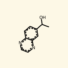 CC(O)c1ccc2nccnc2c1